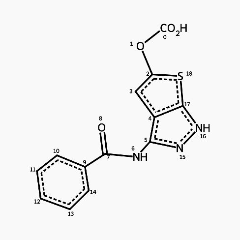 O=C(O)Oc1cc2c(NC(=O)c3ccccc3)n[nH]c2s1